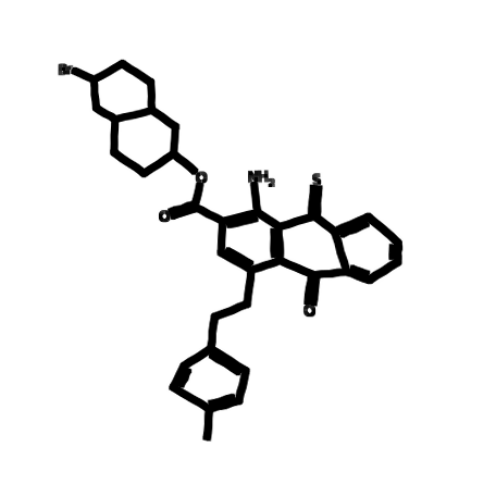 Cc1ccc(CCc2cc(C(=O)OC3CCC4CC(Br)CCC4C3)c(N)c3c2C(=O)c2ccccc2C3=S)cc1